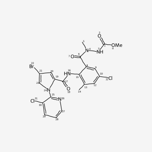 COC(=O)NN(C)C(=O)c1cc(Cl)cc(C)c1NC(=O)c1cc(Br)cn1-c1ncccc1Cl